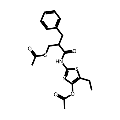 CCc1sc(NC(=O)C(CSC(C)=O)Cc2ccccc2)nc1OC(C)=O